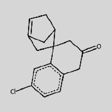 O=C1Cc2ccc(Cl)cc2C2(C1)CC1=CCC2C1